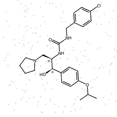 CC(C)Oc1ccc([C@@H](O)[C@@H](CN2CCCC2)NC(=O)NCc2ccc(Cl)cc2)cc1